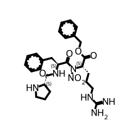 N=C(N)NCCC[C@@H](C(=O)OCc1ccccc1)N(C(=O)[C@H](Cc1ccccc1)NC(=O)[C@@H]1CCCN1)[N+](=O)[O-]